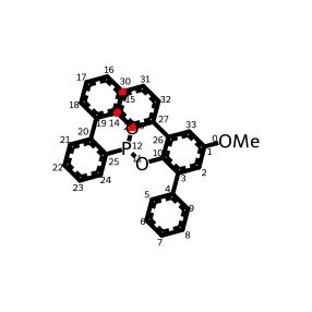 COc1cc(-c2ccccc2)c(OP2Oc3ccccc3-c3ccccc32)c(-c2ccccc2)c1